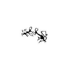 O=C(OC(=O)C(F)(Cl)C(F)(F)F)C(F)(Cl)C(F)(F)F